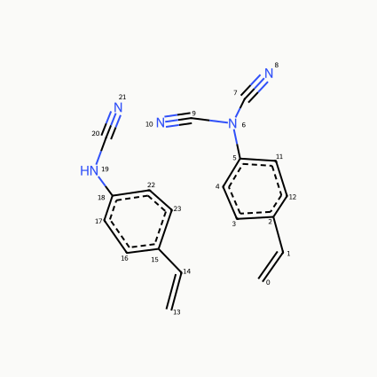 C=Cc1ccc(N(C#N)C#N)cc1.C=Cc1ccc(NC#N)cc1